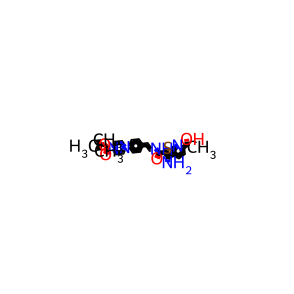 C[C@@H](O)c1ccc2c(N)c(C(=O)NCCc3ccc(N4CCN(C(=O)OC(C)(C)C)CC4)cc3)sc2n1